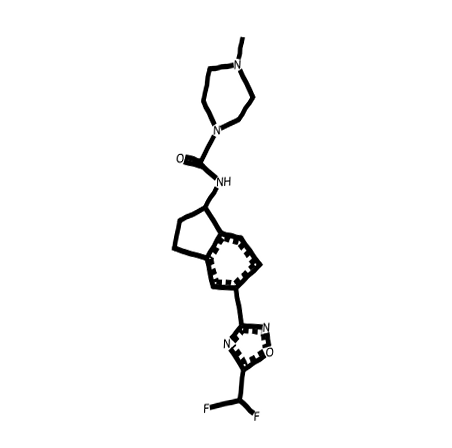 CN1CCN(C(=O)NC2CCc3cc(-c4noc(C(F)F)n4)ccc32)CC1